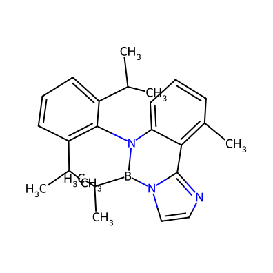 Cc1cccc2c1-c1nccn1B(C(C)C)N2c1c(C(C)C)cccc1C(C)C